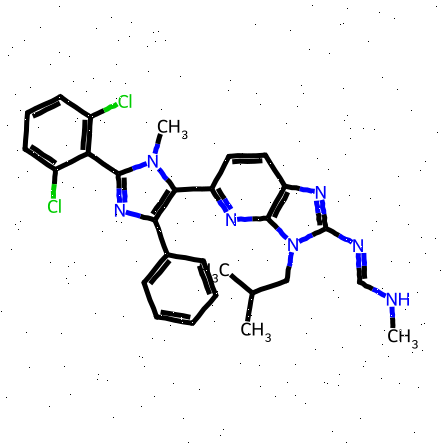 CNC=Nc1nc2ccc(-c3c(-c4ccccc4)nc(-c4c(Cl)cccc4Cl)n3C)nc2n1CC(C)C